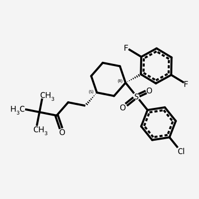 CC(C)(C)C(=O)CC[C@@H]1CCC[C@@](c2cc(F)ccc2F)(S(=O)(=O)c2ccc(Cl)cc2)C1